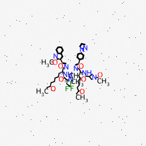 CCC(=O)CCCCC[C@H](NC(=O)C1CN(C(C)=O)C1)c1ncc(-c2ccc(-n3cccn3)cc2)o1.CCC(=O)CCCCC[C@H](NC(=O)[C@H](CC(F)(F)F)N(C)C)c1ncc(-c2cc3ccccc3nc2OC)o1